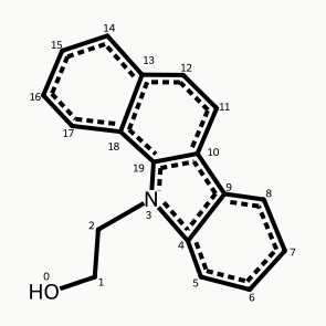 OCCn1c2ccccc2c2ccc3ccccc3c21